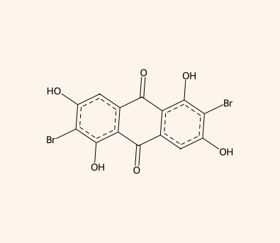 O=C1c2cc(O)c(Br)c(O)c2C(=O)c2cc(O)c(Br)c(O)c21